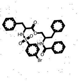 O=C(NC(COC(=O)C(Cc1ccccc1)NS(=O)(=O)c1ccc(Br)cc1)Cc1ccccc1)c1ccccc1